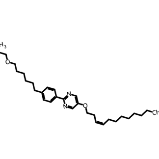 CCCCCCCC/C=C\CCOc1cnc(-c2ccc(CCCCCCOCCC)cc2)nc1